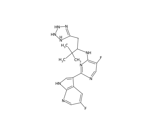 CC(C)(C)C(CC1=NNNN1)Nc1nc(-c2c[nH]c3ncc(F)cc23)ncc1F